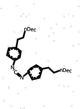 CCCCCCCCCCCCc1ccc(N=C=Nc2ccc(CCCCCCCCCCCC)cc2)cc1